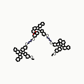 C=COc1ccc2cc(C3(c4ccc5cc(O/C=C/C=C/Oc6ccc7cc([C@@]8(c9ccc%10cc(O/C=C/C=C/Oc%11ccc%12cc(C%13(c%14ccc%15cc(OC=C)ccc%15c%14)c%14ccc%15ccccc%15c%14-c%14ccc%15ccccc%15c%14%13)ccc%12c%11)ccc%10c9)c9cc%10ccccc%10cc9-c9ccc%10ccccc%10c98)ccc7c6)ccc5c4)c4cc5ccccc5cc4-c4c3ccc3ccccc43)ccc2c1